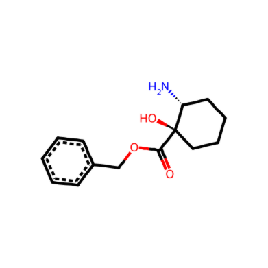 N[C@@H]1CCCC[C@]1(O)C(=O)OCc1ccccc1